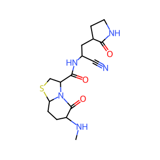 CNC1CCC2SCC(C(=O)NC(C#N)CC3CCNC3=O)N2C1=O